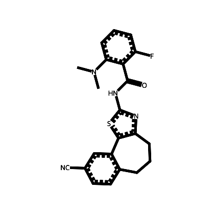 CN(C)c1cccc(F)c1C(=O)Nc1nc2c(s1)-c1cc(C#N)ccc1CCC2